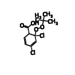 CC(C)(C)OOC1(Cl)C=C(Cl)C=CC1C(=O)O